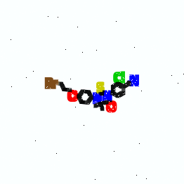 CC1(C)C(=O)N(c2ccc(C#N)c(Cl)c2)C(=S)N1[C@H]1CC[C@H](OCCCBr)CC1